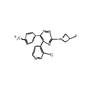 FC1CN(c2nnc(-c3ccc(C(F)(F)F)cc3)c(-c3ccncc3Cl)n2)C1